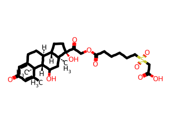 CC1=CC(=O)C=C2CC[C@@H]3[C@H](C(O)C[C@@]4(C)[C@H]3CC[C@]4(O)C(=O)COC(=O)CCCCCS(=O)(=O)CC(=O)O)[C@@]12C